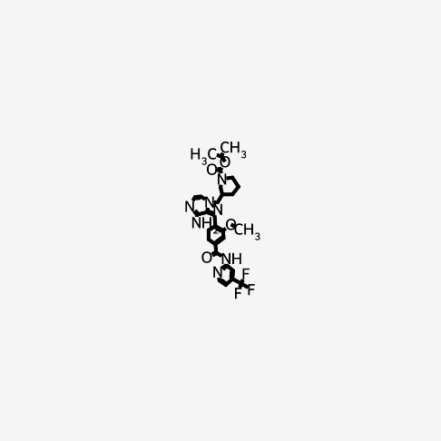 COC1=C(c2nc(C3CCCN(C(=O)OC(C)C)C3)n3ccnc(N)c23)CCC(C(=O)Nc2cc(C(F)(F)F)ccn2)=C1